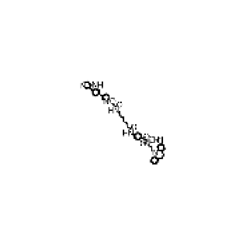 CN(CCCN1c2ccccc2CCc2ccc(Cl)cc21)S(=O)(=O)c1ccc(NC(=O)CCCCCCNC(=O)COc2ccc(-c3ccc4c(c3)[nH]c3ccncc34)cn2)cc1